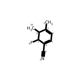 CC1=CC=C(C#N)C(F)C1C